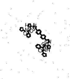 O=C(N[C@H](C(=O)N1CCC[C@H]1c1ncc(-c2ccc(-c3ccc(-c4cnc([C@@H]5CCCN5C(=O)[C@H](NC(=O)C5CCCC5)c5ccccc5)s4)cc3)cc2)s1)c1ccccc1)C1CCCC1